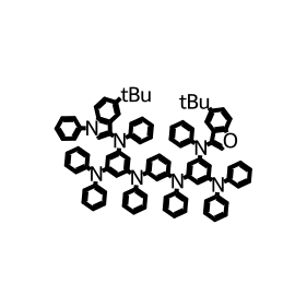 CC(C)(C)c1ccc2occ(N(c3ccccc3)c3cc(N(c4ccccc4)c4ccccc4)cc(N(c4ccccc4)c4cccc(N(c5ccccc5)c5cc(N(c6ccccc6)c6ccccc6)cc(N(c6ccccc6)c6cn(-c7ccccc7)c7ccc(C(C)(C)C)cc67)c5)c4)c3)c2c1